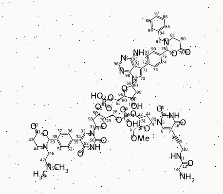 COC[C@H]1O[C@@H](n2cc(C#CCNC(=O)CN)c(=O)[nH]c2=O)C[C@@H]1OP(=O)(O)OC[C@H]1O[C@@H](n2cc(-c3ccc(C4OC(=O)CCN4CCN(C)C)cc3)c(=O)[nH]c2=O)C[C@@H]1OP(=O)(O)OC[C@H]1O[C@@H](n2cc(-c3ccc(C4OC(=O)CCN4Cc4ccccc4)cc3)c3c(N)ncnc32)C[C@@H]1O